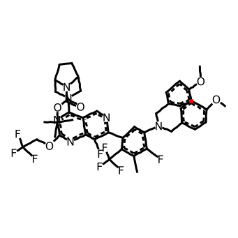 COc1ccc(CN(Cc2ccc(OC)cc2)c2cc(-c3ncc4c(N5CC6CCC(C5)N6C(=O)OC(C)(C)C)nc(OCC(F)(F)F)nc4c3F)c(C(F)(F)F)c(C)c2F)cc1